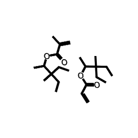 C=C(C)C(=O)OC(C)C(C)(CC)CC.C=CC(=O)OC(C)C(C)(CC)CC